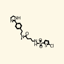 CN(CCc1ccc(C2=NCCN2)cc1)C(=O)CCCNCS(=O)(=O)c1ccc(Cl)s1